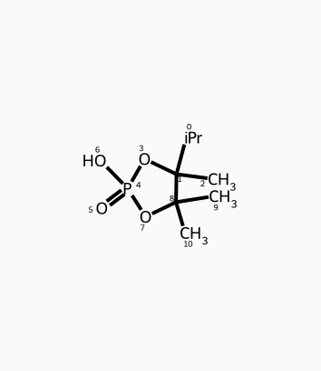 CC(C)C1(C)OP(=O)(O)OC1(C)C